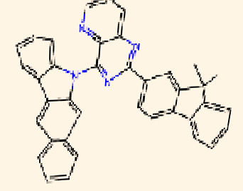 CC1(C)c2ccccc2-c2ccc(-c3nc(-n4c5ccccc5c5cc6ccccc6cc54)c4ncccc4n3)cc21